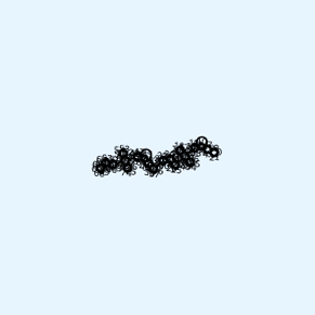 c1ccc2cc3c(cc2c1)oc1ccc(-c2c4ccccc4c(-c4cccc5c4ccc4ccc(-c6cccc7cc8c(cc67)oc6ccc(-c7c9ccccc9c(-c9ccc%10c(ccc%11ccccc%11%10)c9)c9ccccc79)cc68)cc45)c4ccccc24)cc13